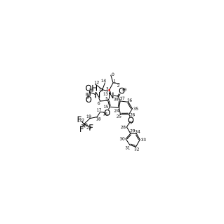 CC(C)Cn1c(CN(C(=O)O)C(C)(C)C)c(OCCCC(F)(F)F)c2cc(OCc3ccccc3)ccc2c1=O